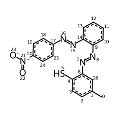 Cc1ccc(S)c(N=Nc2ccccc2N=Nc2ccc([N+](=O)[O-])cc2)c1